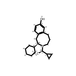 C[C@H](C1CC1)N1CCCc2cc(O)ccc2C[C@@H]1C1CCCCC1